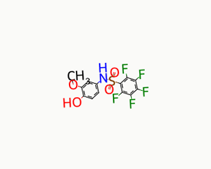 COc1cc(NS(=O)(=O)c2c(F)c(F)c(F)c(F)c2F)ccc1O